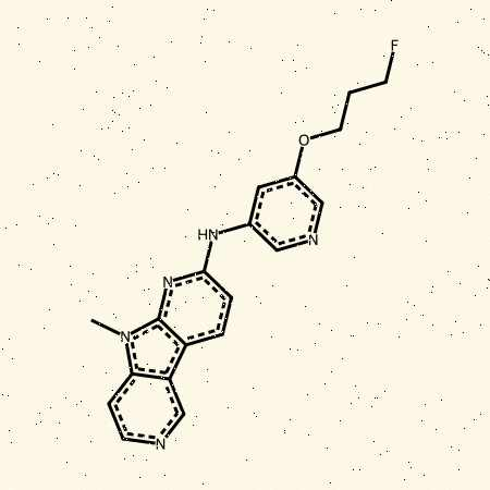 Cn1c2ccncc2c2ccc(Nc3cncc(OCCCF)c3)nc21